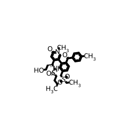 CCCC[S@+]([O-])N[C@@H](CCO)c1cc(=O)n(C)cc1-c1cc(CS(=O)(=O)CC)ccc1C(=O)c1ccc(C)cc1